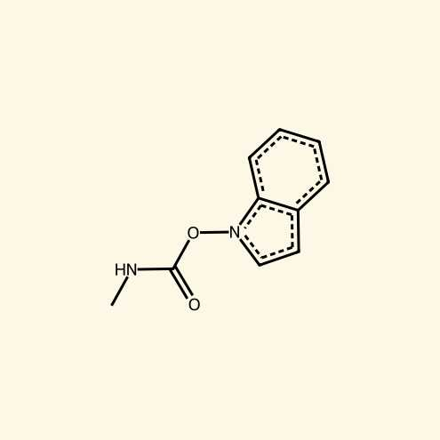 CNC(=O)On1ccc2ccccc21